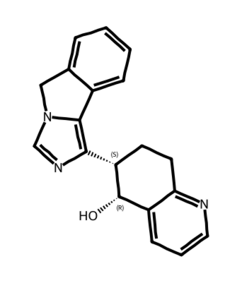 O[C@H]1c2cccnc2CC[C@H]1c1ncn2c1-c1ccccc1C2